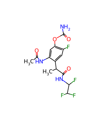 CC(=O)Nc1cc(OC(N)=O)c(F)cc1C(C)C(=O)NC(F)C(F)F